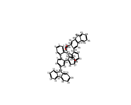 c1ccc2c(c1)-c1ccc(-n3c4ccccc4c4ccccc43)cc1-c1ccccc1[Si]21c2ccccc2-c2cc3sc4ccccc4c3cc2-c2ccccc21